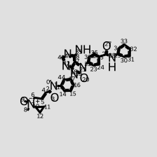 CN(C(=O)/C=C/C[N+](C)([O-])C1CC1)c1cccc(-n2c(=O)n(-c3ccc(C(=O)Nc4ccccc4)cc3)c3c(N)ncnc32)c1